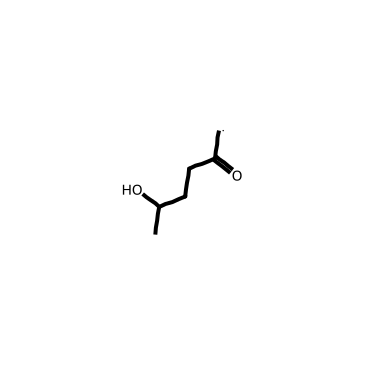 [CH2]C(=O)CCC(C)O